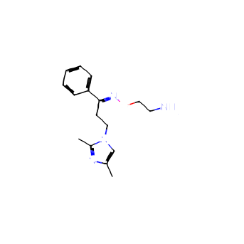 Cc1cn(CCC(=NOCCN)c2ccccc2)c(C)n1